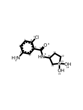 Nc1ccc(Cl)c(C(=O)NC2CCS(O)(O)C2)c1